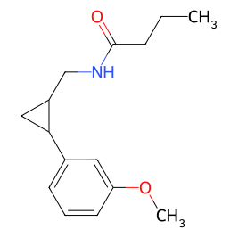 CCCC(=O)NCC1CC1c1cccc(OC)c1